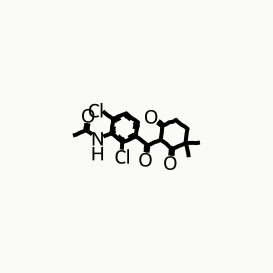 CC(=O)Nc1c(Cl)ccc(C(=O)C2C(=O)CCC(C)(C)C2=O)c1Cl